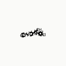 Cc1cc(C2CCN(CCN3CCOCC3)CC2)nn1-c1ccc(Cl)cc1